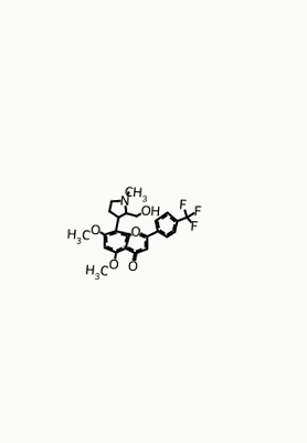 COc1cc(OC)c2c(=O)cc(-c3ccc(C(F)(F)F)cc3)oc2c1C1CCN(C)C1CO